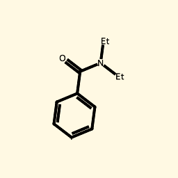 CCN(CC)C(=O)c1cc[c]cc1